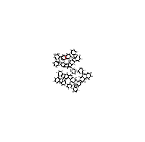 c1ccc([Si](c2ccccc2)(c2ccccc2)c2ccc3c(c2)c2cc([Si](c4ccccc4)(c4ccccc4)c4ccccc4)ccc2n3-c2cc(-c3cccc(-n4c5ccccc5c5ccccc54)c3)cc(-n3c4ccc([Si](c5ccccc5)(c5ccccc5)c5ccccc5)cc4n4c5cc([Si](c6ccccc6)(c6ccccc6)c6ccccc6)ccc5nc34)n2)cc1